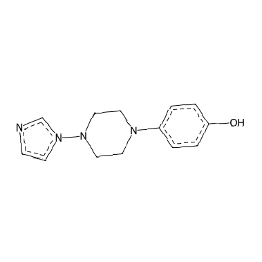 Oc1ccc(N2CCN(n3ccnc3)CC2)cc1